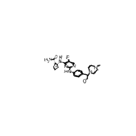 CN1CCN(C(C=O)c2ccc(Nc3ncc(F)c(N[C@@H]4CCC[C@@H]4C(N)=O)n3)cc2)CC1